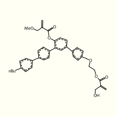 C=C(CO)C(=O)OCCOc1ccc(-c2ccc(OC(=O)C(=C)COC)c(-c3ccc(-c4ccc(CCCC)cc4)cc3)c2)cc1